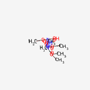 CCCCCCCCCCCOC(=O)CCCCCN(CCCCCCCC(=O)O)C(C)CNC(=O)CC(=O)NCC(C)N(CCCCCCCC(=O)OC(CCCCCCCC)CCCCCCCC)CCCCCC(=O)OCCCCCCCCCCC